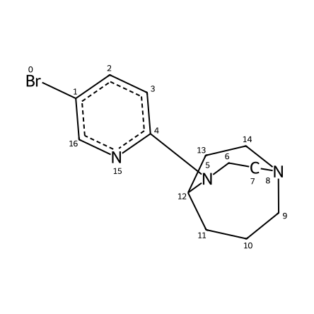 Brc1ccc(N2CCN3CCCC2CC3)nc1